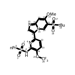 CCCS(=O)(=O)Nc1nc(-c2cnc3cc(OC)c(S(=O)(=O)C(C)(C)C)cn23)ccc1OC(F)(F)F